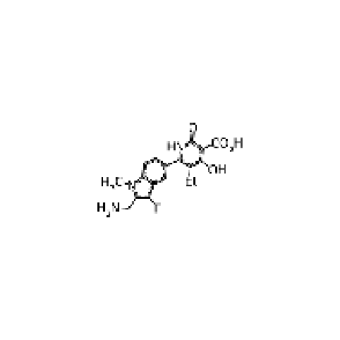 CCc1c(-c2ccc3c(c2)c(F)c(CN)n3C)[nH]c(=O)c(C(=O)O)c1O